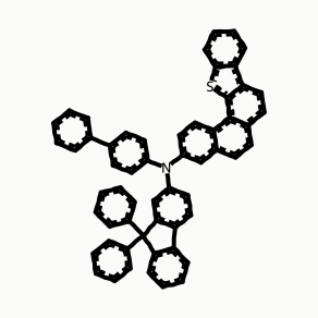 c1ccc(-c2ccc(N(c3ccc4c(c3)C(c3ccccc3)(c3ccccc3)c3ccccc3-4)c3ccc4c(ccc5ccc6c7ccccc7sc6c54)c3)cc2)cc1